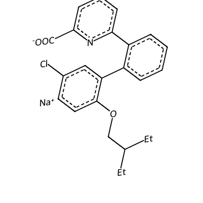 CCC(CC)COc1ccc(Cl)cc1-c1ccccc1-c1cccc(C(=O)[O-])n1.[Na+]